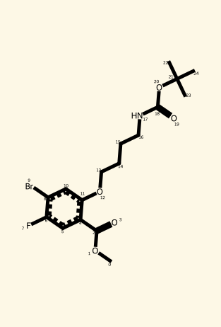 COC(=O)c1cc(F)c(Br)cc1OCCCCNC(=O)OC(C)(C)C